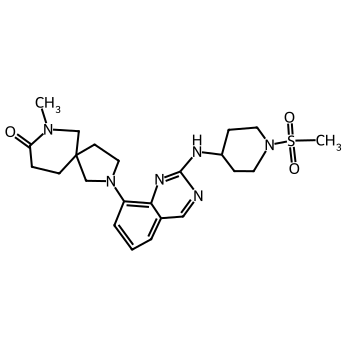 CN1CC2(CCC1=O)CCN(c1cccc3cnc(NC4CCN(S(C)(=O)=O)CC4)nc13)C2